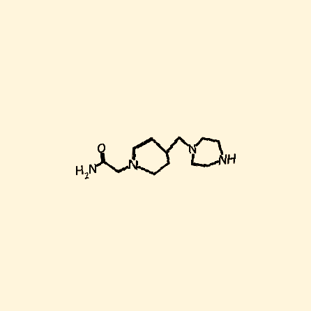 NC(=O)CN1CCC(CN2CCNCC2)CC1